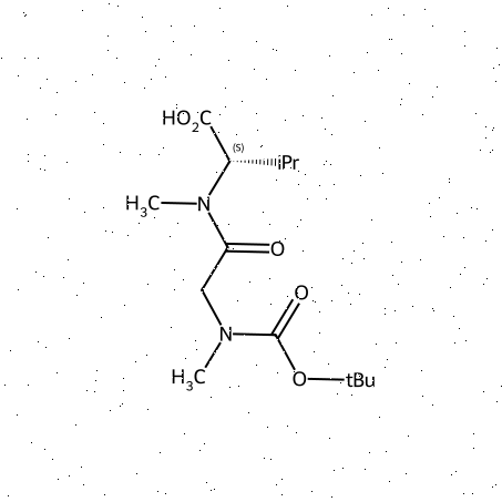 CC(C)[C@@H](C(=O)O)N(C)C(=O)CN(C)C(=O)OC(C)(C)C